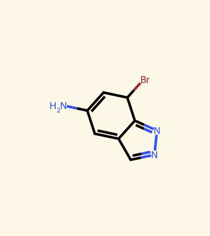 NC1=CC(Br)C2=NN=CC2=C1